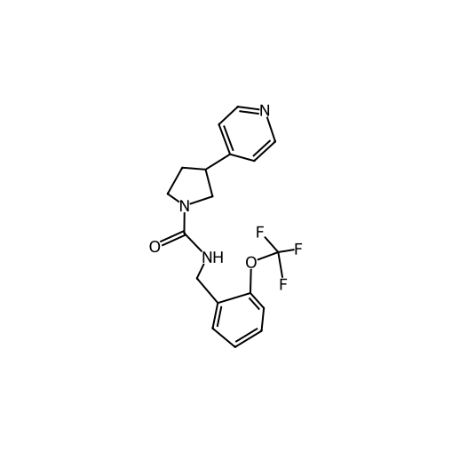 O=C(NCc1ccccc1OC(F)(F)F)N1CCC(c2ccncc2)C1